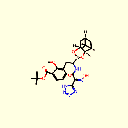 COc1c(CC(NC(=O)/C(=N\O)c2nnn[nH]2)B2O[C@@H]3C[C@@H]4C[C@@H](C4(C)C)[C@]3(C)O2)cccc1C(=O)OC(C)(C)C